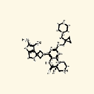 N#Cc1c(N)sc2c1C1(CN(c3nc(OCC4(CN5CCOCC5)CC4)nc4c3NC(=O)[C@H]3CNCCN43)C1)SC2